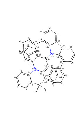 CC1(C)c2ccccc2N2c3ccccc3B(n3c4c(-c5ccccc5)cccc4c4cccc(-c5ccccc5)c43)c3cccc1c32